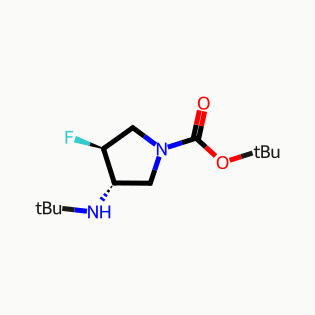 CC(C)(C)N[C@H]1CN(C(=O)OC(C)(C)C)C[C@@H]1F